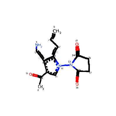 C=C/C=c1\c(=C/N)c(C(C)=O)cn1N1C(=O)CCC1=O